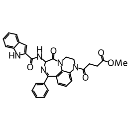 COC(=O)CCC(=O)N1CCN2C(=O)C(NC(=O)c3cc4ccccc4[nH]3)N=C(c3ccccc3)c3cccc1c32